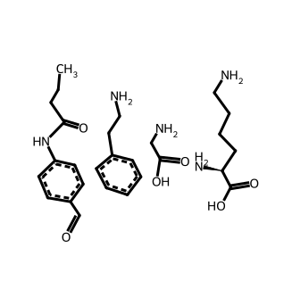 CCCC(=O)Nc1ccc(C=O)cc1.NCC(=O)O.NCCCC[C@H](N)C(=O)O.NCCc1ccccc1